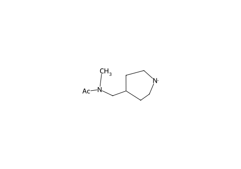 CC(=O)N(C)CC1CC[N]CC1